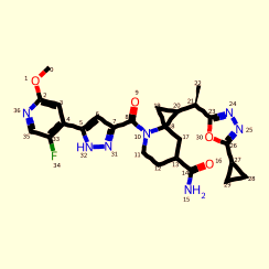 COc1cc(-c2cc(C(=O)N3CCC(C(N)=O)CC34CC4[C@@H](C)c3nnc(C4CC4)o3)n[nH]2)c(F)cn1